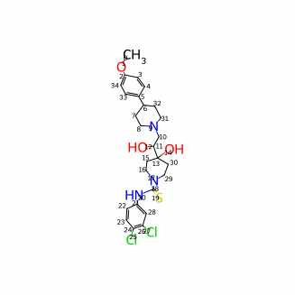 COc1ccc(C2CCN(CC(O)C3(O)CCN(C(=S)Nc4ccc(Cl)c(Cl)c4)CC3)CC2)cc1